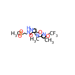 Cc1cc(C(C)N2Cc3c(ccnc3C(=O)NCCCS(C)(=O)=O)C2=O)cnc1OCC(F)(F)F